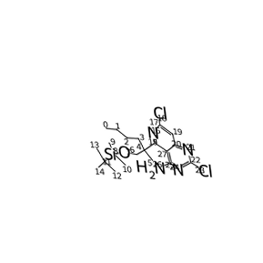 CCCCC(C)(CO[Si](C)(C)C(C)(C)C)c1nc(Cl)cc2nc(Cl)nc(N)c12